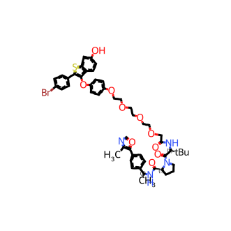 Cc1ncoc1-c1ccc([C@H](C)NC(=O)[C@@H]2CCCN2C(=O)[C@@H](NC(=O)COCCOCCOCCOc2ccc(Oc3c(-c4ccc(Br)cc4)sc4cc(O)ccc34)cc2)C(C)(C)C)cc1